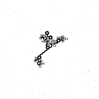 Cn1c(=O)n(C2CCC(=O)NC2=O)c2ccc(CCCCCCc3cc4c5c(c3)C[C@@H](C(=O)N[C@@H](CCC(N)=O)C(=O)NC(c3ccccc3)c3ccccc3)N5C(=O)[C@@H](NC(=O)c3cc5cc(C(=O)P(=O)(O)O)ccc5[nH]3)CC4)cc21